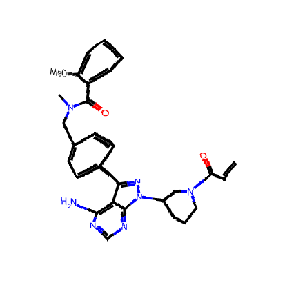 C=CC(=O)N1CCCC(n2nc(-c3ccc(CN(C)C(=O)c4ccccc4OC)cc3)c3c(N)ncnc32)C1